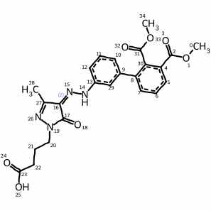 COC(=O)c1cccc(-c2cccc(N/N=C3\C(=O)N(CCCC(=O)O)N=C3C)c2)c1C(=O)OC